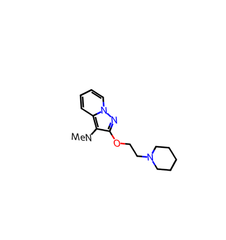 CNc1c(OCCN2CCCCC2)nn2ccccc12